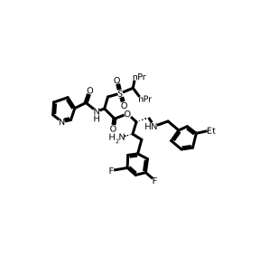 CCCC(CCC)S(=O)(=O)CC(NC(=O)c1cccnc1)C(=O)O[C@H](CNCc1cccc(CC)c1)[C@@H](N)Cc1cc(F)cc(F)c1